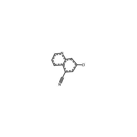 N#Cc1cc(Cl)cc2ncccc12